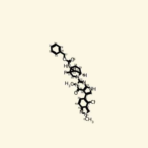 Cn1cc2c(Cl)c(-c3c[nH]c4nc(N5CC6(F)CCC[C@@H]5C[C@H]6NC(=O)OCc5ccccc5)n(C)c(=O)c34)ccc2n1